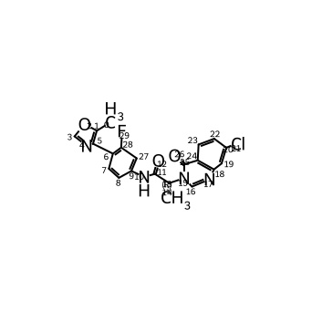 Cc1ocnc1-c1ccc(NC(=O)[C@@H](C)n2cnc3cc(Cl)ccc3c2=O)cc1F